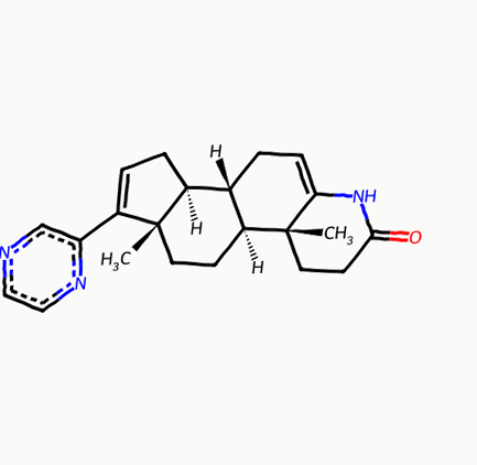 C[C@]12CCC(=O)NC1=CC[C@@H]1[C@@H]2CC[C@]2(C)C(c3cnccn3)=CC[C@@H]12